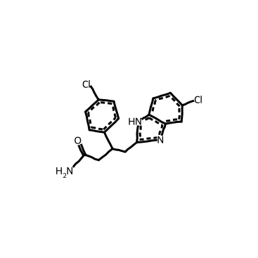 NC(=O)CC(Cc1nc2cc(Cl)ccc2[nH]1)c1ccc(Cl)cc1